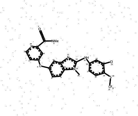 CNC(=O)c1cc(Oc2ccc3c(c2)nc(Nc2ccc(SC(F)(F)F)c(Cl)c2)n3C)ccn1